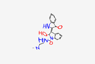 CN(C)CCNC(=O)N1c2ccccc2/C(=C2/Nc3ccccc3C2=O)C1O